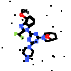 COc1cccc2c1nc(C(F)F)n2-c1nc(N2CCNCC2)nc(N2CC3CCC(C2)O3)n1